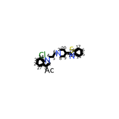 CC(=O)c1cn(CCCN2CCC(c3nc4ccccc4s3)CC2)c2c(Cl)cccc12